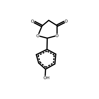 O=C1CC(=O)OC(c2ccc(O)cc2)O1